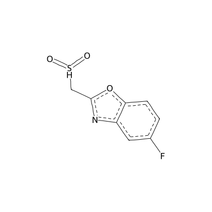 O=[SH](=O)Cc1nc2cc(F)ccc2o1